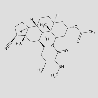 CCCC[C@H]1C[C@]2(C)[C@@H](C#N)CC[C@H]2[C@@H]2CC[C@H]3C[C@H](OC(C)=O)CC(OC(=O)CNC)[C@]3(C)[C@@H]12